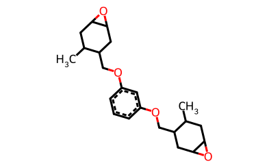 CC1CC2OC2CC1COc1cccc(OCC2CC3OC3CC2C)c1